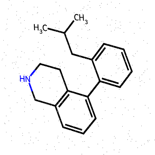 CC(C)Cc1ccccc1-c1cccc2c1CCNC2